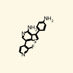 Nc1ccc(-c2csc3c(-c4ccncc4F)cnc(N)c23)cc1